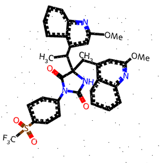 COc1cc(C(C)C2(C(C)c3cc(OC)nc4ccccc34)NC(=O)N(c3ccc(S(=O)(=O)C(F)(F)F)cc3)C2=O)c2ccccc2n1